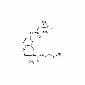 COCCOC(=O)N1Cc2cc(NC(=O)OC(C)(C)C)cnc2OC[C@H]1C